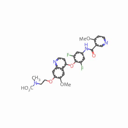 COc1cc2c(Oc3c(F)cc(NC(=O)c4cnccc4OC)cc3F)ccnc2cc1OCCN(C)C(=O)O